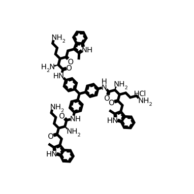 Cc1[nH]c2ccccc2c1CC(=O)C(CCCN)[C@H](N)C(=O)Nc1ccc(C(c2ccc(NC(=O)[C@@H](N)C(CCCN)C(=O)Cc3c(C)[nH]c4ccccc34)cc2)c2ccc(NC(=O)[C@@H](N)C(CCCN)C(=O)Cc3c(C)[nH]c4ccccc34)cc2)cc1.Cl